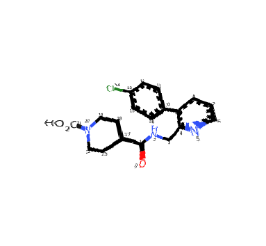 O=C(NCc1ncccc1-c1ccc(Cl)cc1)C1CCN(C(=O)O)CC1